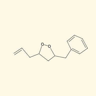 C=CCC1CC(Cc2ccccc2)OO1